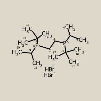 Br.Br.CC(C)P(CCP(C(C)C)C(C)(C)C)C(C)(C)C